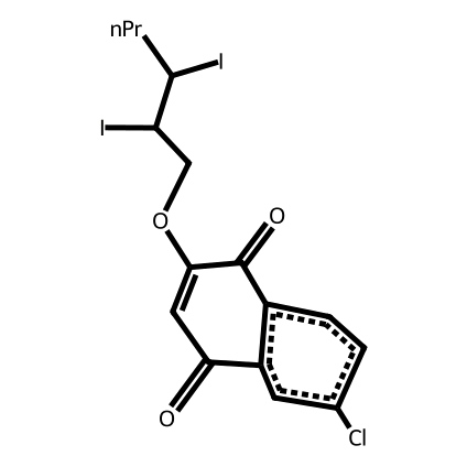 CCCC(I)C(I)COC1=CC(=O)c2cc(Cl)ccc2C1=O